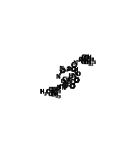 COc1nc(-c2cccc(-c3cccc(NC(=O)c4cc(OCc5cncc(C#N)c5)c5c(n4)CN(CCO[Si](C)(C)C(C)(C)C)CC5)c3Cl)c2Cl)cnc1CN1CC(O[Si](C)(C)C(C)(C)C)C1